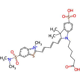 CN(C)S(=O)(=O)c1ccc2c(c1)sc(/C=C/C=C/C=C1/N(CCCCCC(=O)O)c3ccc(S(=O)(=O)O)cc3C1(C)C)[n+]2C